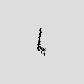 CCCCCCCCOCC1CCN(C(=O)OCC)C1